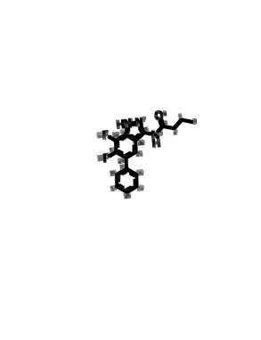 CCCC(=O)Nc1n[nH]c2c(F)c(F)c(-c3ccccc3)cc12